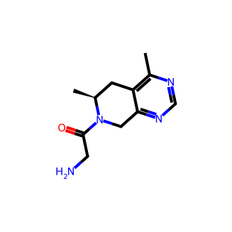 Cc1ncnc2c1C[C@H](C)N(C(=O)CN)C2